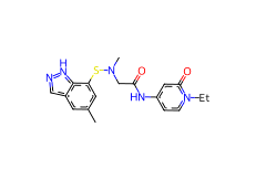 CCn1ccc(NC(=O)CN(C)Sc2cc(C)cc3cn[nH]c23)cc1=O